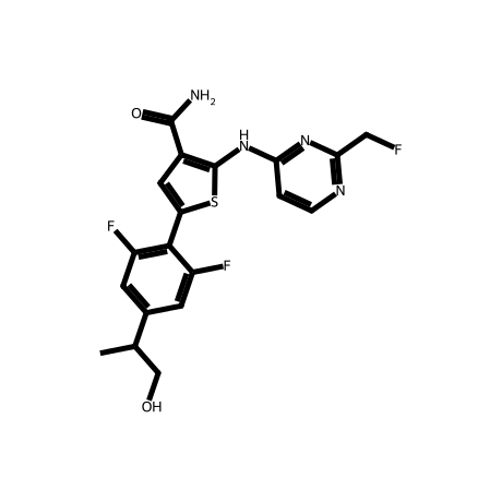 CC(CO)c1cc(F)c(-c2cc(C(N)=O)c(Nc3ccnc(CF)n3)s2)c(F)c1